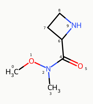 CON(C)C(=O)C1CCN1